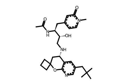 CC(=O)N[C@@H](Cc1ccn(C)c(=O)c1)[C@H](O)CN[C@H]1CC2(CCC2)Oc2ncc(CC(C)(C)C)cc21